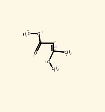 COC(=O)/C=C(/C)OC